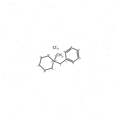 C[N+]1(Cc2ccccc2)CCCCC1.[Cl-]